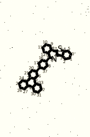 c1ccc2c(c1)sc1c3ccccc3c(-c3ccc(-c4ccc5c6ccccc6c6ccccc6c5c4)cc3)nc21